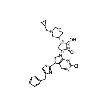 O[C@@H]1[C@H](O)[C@@H](C2CCCN(CC3CC3)C2)C[C@H]1n1cc(-c2nc(Cc3ccccc3)cs2)c2cnc(Cl)nc21